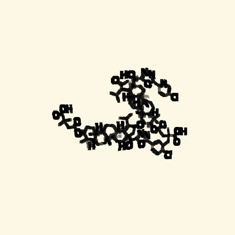 CC(C)C1=C2[C@H]3CC[C@@H]4[C@@]5(C)CC[C@H](OC(=O)CC(C)(C)C(=O)O)C(C)(C)[C@@H]5CC[C@@]4(C)[C@]3(C)CC[C@@]2(C(O)c2nnc(-c3ccc(Cl)c(CC(C)(CC(=O)O[C@H]4CC[C@]5(C)[C@H]6CC[C@@H]7C8=C(C(C)C)C(=O)C[C@]8([C@@H](O)c8nnc(-c9ccc(Cl)cn9)o8)CC[C@@]7(C)[C@]6(C)CC[C@H]5C4(C)C)C(=O)O)c3)o2)CC1=O